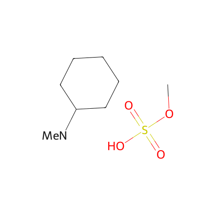 CNC1CCCCC1.COS(=O)(=O)O